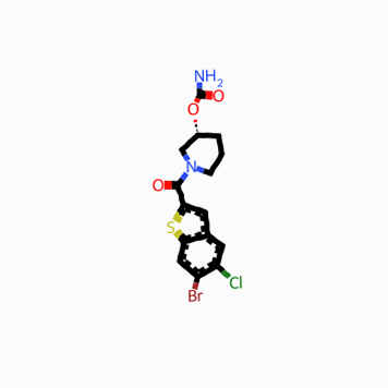 NC(=O)O[C@@H]1CCCN(C(=O)c2cc3cc(Cl)c(Br)cc3s2)C1